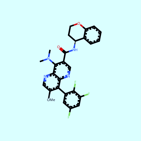 COc1cnc2c(N(C)C)c(C(=O)N[C@H]3CCOc4ccccc43)cnc2c1-c1cc(F)cc(F)c1F